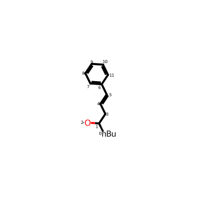 CCCCC([O])CC=Cc1ccccc1